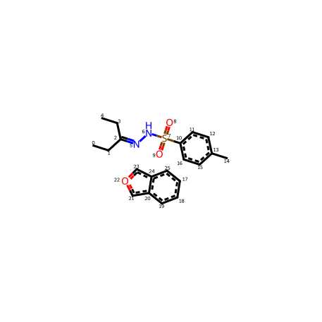 CCC(CC)=NNS(=O)(=O)c1ccc(C)cc1.c1ccc2cocc2c1